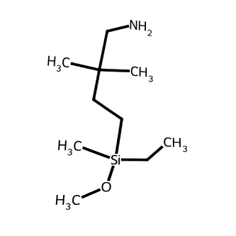 CC[Si](C)(CCC(C)(C)CN)OC